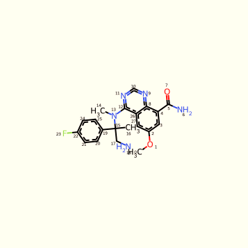 COc1cc(C(N)=O)c2ncnc(N(C)C(C)(CN)c3ccc(F)cc3)c2c1